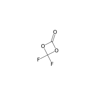 O=C1OC(F)(F)O1